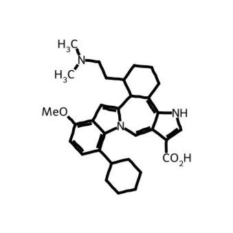 COc1ccc(C2CCCCC2)c2c1cc1n2C=c2c(C(=O)O)c[nH]c2=C2CCCC(CCN(C)C)C21